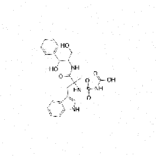 CC(Cc1c[nH]c2ccccc12)(NS(=O)(=O)NC(=O)O)C(=O)NC(CO)C(O)c1ccccc1